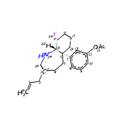 C=CC[C+]1CC[C@]2(c3cccc(OC(C)=O)c3)CCCC[C@H]2NC1.[I-]